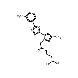 CCN(CC)CCOC(=O)Cn1nc(C)cc1-c1nnc(-c2cccc(C)c2)o1